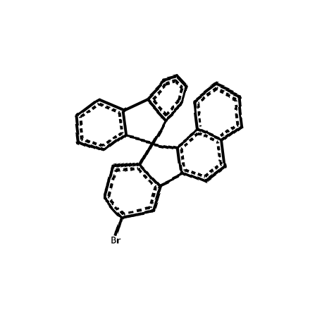 Brc1ccc2c(c1)-c1ccc3ccccc3c1C21c2ccccc2-c2ccccc21